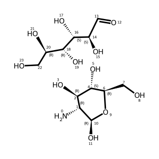 N[C@@H]1[C@@H](O)[C@H](O)[C@@H](CO)O[C@H]1O.O=C[C@@H](O)[C@@H](O)[C@H](O)[C@H](O)CO